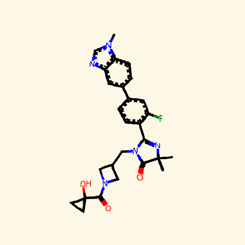 Cn1cnc2cc(-c3ccc(C4=NC(C)(C)C(=O)N4CC4CN(C(=O)C5(O)CC5)C4)c(F)c3)ccc21